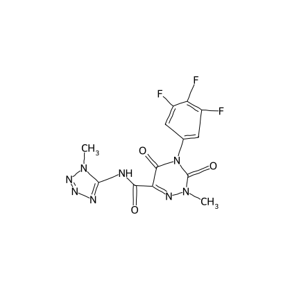 Cn1nnnc1NC(=O)c1nn(C)c(=O)n(-c2cc(F)c(F)c(F)c2)c1=O